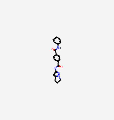 O=C(Nc1ccccc1)c1ccc(C(=O)Nc2cc3n(n2)CCC3)cc1